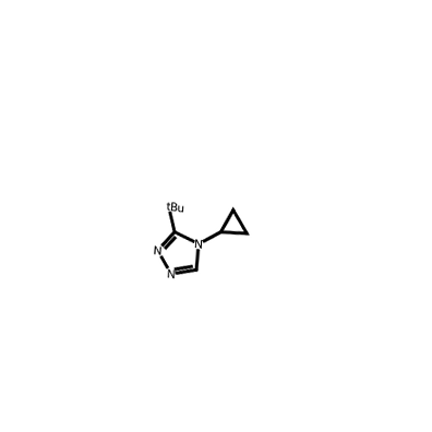 CC(C)(C)c1nncn1C1CC1